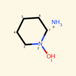 N.ON1CCCCC1